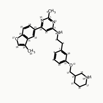 Cc1nc(NCCc2cccc(OCC3CCCNC3)c2)cc(-c2ccc3occ(C)c3c2)n1